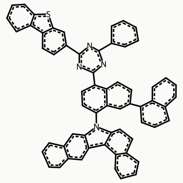 c1ccc(-c2nc(-c3ccc4c(c3)sc3ccccc34)nc(-c3ccc(-n4c5cc6ccccc6cc5c5c6ccccc6ccc54)c4cc(-c5cccc6ccccc56)ccc34)n2)cc1